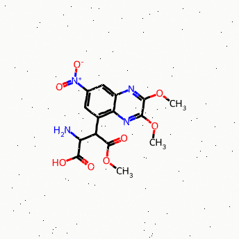 COC(=O)C(c1cc([N+](=O)[O-])cc2nc(OC)c(OC)nc12)C(N)C(=O)O